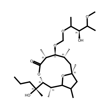 CCC[C@@](C)(O)[C@@H]1OC(=O)[C@H](C)[C@@H](OCOC(C)[C@H](O)C(C)OC)[C@H](C)C[C@@]2(C)CC(C)C(O2)[C@@H]1C